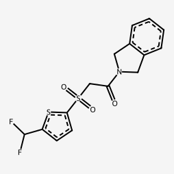 O=C(CS(=O)(=O)c1ccc(C(F)F)s1)N1Cc2ccccc2C1